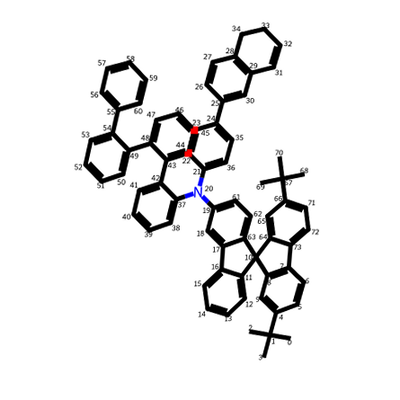 CC(C)(C)c1ccc2c(c1)C1(c3ccccc3-c3cc(N(c4ccc(-c5ccc6c(c5)C=CCC6)cc4)c4ccccc4-c4ccccc4-c4ccccc4-c4ccccc4)ccc31)c1cc(C(C)(C)C)ccc1-2